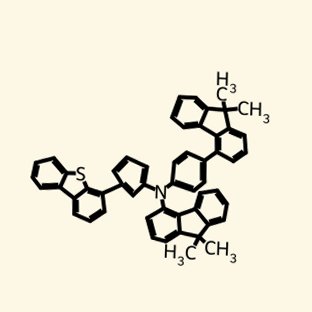 CC1(C)c2ccccc2-c2c(-c3ccc(N(c4cccc(-c5cccc6c5sc5ccccc56)c4)c4cccc5c4-c4ccccc4C5(C)C)cc3)cccc21